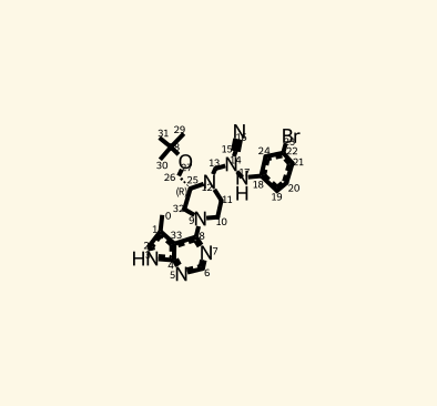 Cc1c[nH]c2ncnc(N3CCN(CN(C#N)Nc4cccc(Br)c4)[C@@H](COC(C)(C)C)C3)c12